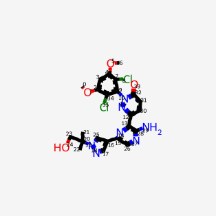 COc1cc(OC)c(Cl)c(-n2nc(-c3nc(-c4cnn(C(C)(C)CO)c4)cnc3N)ccc2=O)c1Cl